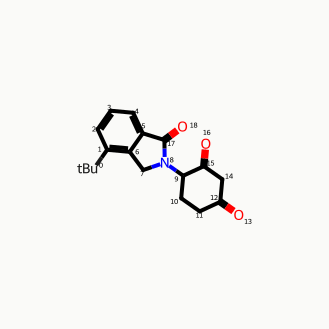 CC(C)(C)c1cccc2c1CN(C1CCC(=O)CC1=O)C2=O